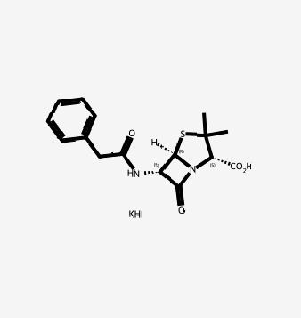 CC1(C)S[C@@H]2[C@@H](NC(=O)Cc3ccccc3)C(=O)N2[C@H]1C(=O)O.[KH]